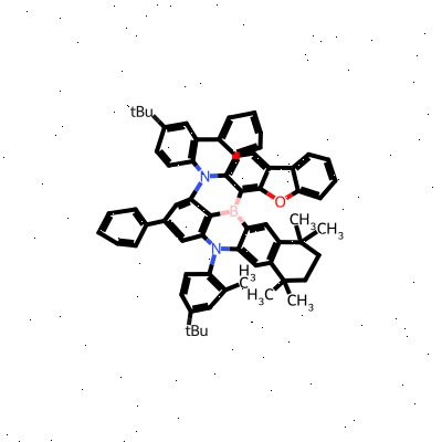 Cc1cc(C(C)(C)C)ccc1N1c2cc3c(cc2B2c4c1cc(-c1ccccc1)cc4N(c1ccc(C(C)(C)C)cc1-c1ccccc1)c1ccc4c(oc5ccccc54)c12)C(C)(C)CCC3(C)C